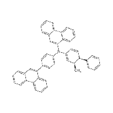 C[C@H]1C=C(N(c2ccc(-c3cc4ccccc4c4ccccc34)cc2)c2cc3ccccc3c3ccccc23)C=C[C@H]1c1ccccc1